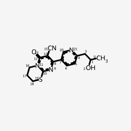 CC(O)Cc1ccc(-c2nc3n(c(=O)c2C#N)CCCS3)cn1